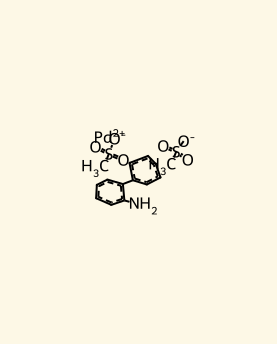 CS(=O)(=O)[O-].CS(=O)(=O)[O-].Nc1ccccc1-c1ccccc1.[Pd+2]